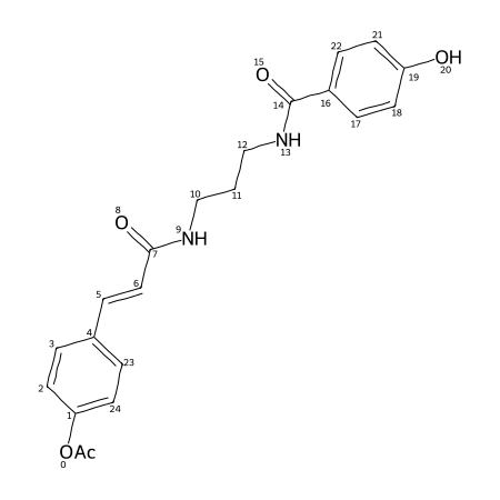 CC(=O)Oc1ccc(/C=C/C(=O)NCCCNC(=O)c2ccc(O)cc2)cc1